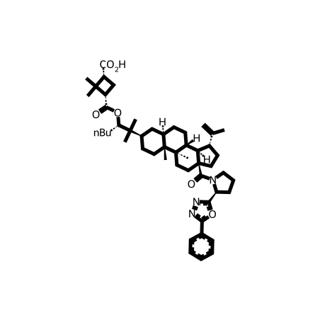 C=C(C)[C@@H]1CC[C@]2(C(=O)N3CCC[C@H]3c3nnc(-c4ccccc4)o3)CC[C@]3(C)[C@H](CC[C@@H]4C[C@H](C(C)(C)[C@H](CCCC)OC(=O)[C@H]5C[C@@H](C(=O)O)C5(C)C)CC[C@]43C)[C@@H]12